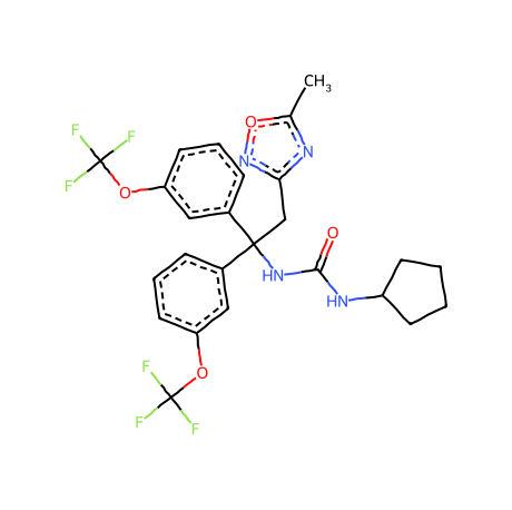 Cc1nc(CC(NC(=O)NC2CCCC2)(c2cccc(OC(F)(F)F)c2)c2cccc(OC(F)(F)F)c2)no1